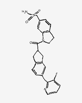 NS(=O)(=O)c1ccc2c(c1)N(C(=O)C1Cc3ccc(-c4ncccc4F)cc3C1)CC2